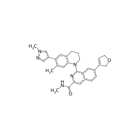 CNC(=O)c1cc2ccc(C3=CCOC3)cc2c(N2CCCc3cc(-c4cnn(C)c4)c(C)cc32)n1